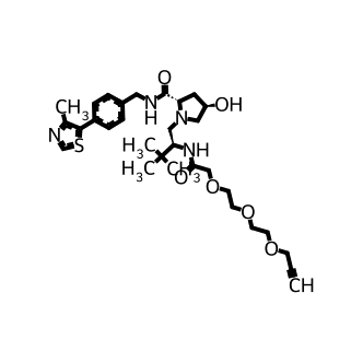 C#CCOCCOCCOCC(=O)N[C@H](CN1C[C@H](O)C[C@H]1C(=O)NCc1ccc(-c2scnc2C)cc1)C(C)(C)C